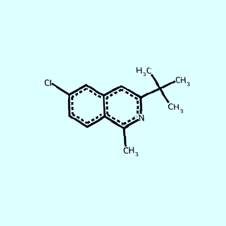 Cc1nc(C(C)(C)C)cc2cc(Cl)ccc12